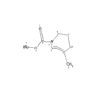 CC1=CN(C(=O)OC(C)(C)C)CCC1